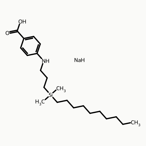 CCCCCCCCCC[Si](C)(C)CCCNc1ccc(C(=O)O)cc1.[NaH]